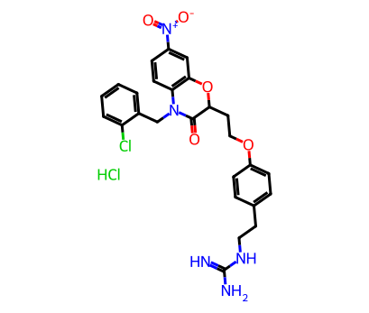 Cl.N=C(N)NCCc1ccc(OCCC2Oc3cc([N+](=O)[O-])ccc3N(Cc3ccccc3Cl)C2=O)cc1